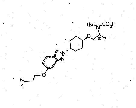 C[C@@H](CO[C@H]1CC[C@H](n2cc3ccc(OCCC4CC4)cc3n2)CC1)N(C(=O)O)C(C)(C)C